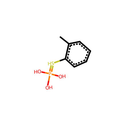 Cc1ccccc1[SH]=P(O)(O)O